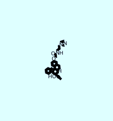 CC#C[C@@]1(O)CC[C@@]2(Cc3ccccc3)c3ccc(OCC(=O)NCCCn4ccnc4)cc3CC[C@@H]2C1